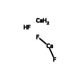 F.[CaH2].[F][Ca][F]